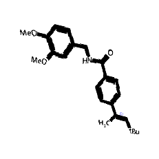 COc1ccc(CNC(=O)c2ccc(/C(C)=C/C(C)(C)C)cc2)cc1OC